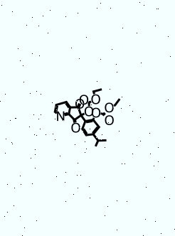 CCOC(=O)Oc1cc(C(C)C)ccc1C1(OC(=O)OCC)C(=O)c2cccnc2C1=O